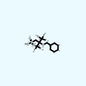 O=S(=O)(O)CC(OCC1CCCCC1)(C(F)(F)F)C(F)(F)F